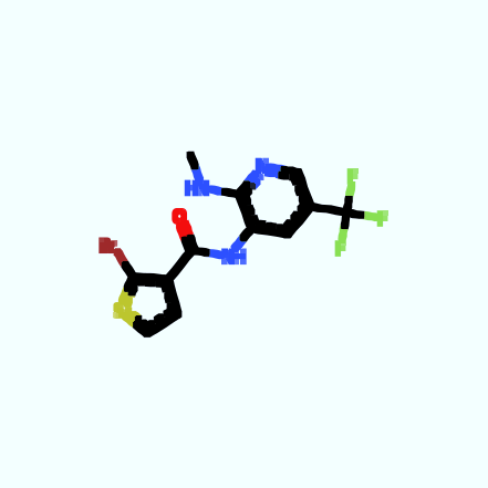 CNc1ncc(C(F)(F)F)cc1NC(=O)c1ccsc1Br